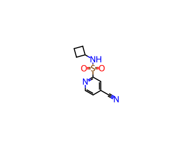 N#Cc1ccnc(S(=O)(=O)NC2CCC2)c1